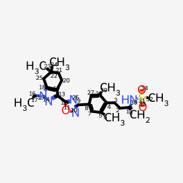 C=C(CCc1c(C)cc(-c2noc(-c3nn(CC)c4c3CCC(C)(C)C4)n2)cc1C)NS(C)(=O)=O